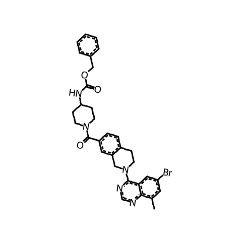 Cc1cc(Br)cc2c(N3CCc4ccc(C(=O)N5CCC(NC(=O)OCc6ccccc6)CC5)cc4C3)ncnc12